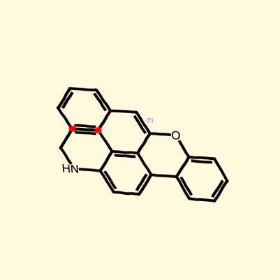 C1=Cc2c(ccc3c2/C(=C\c2ccccc2)Oc2ccccc2-3)NC1